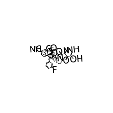 CS(=O)(=O)O[C@H]([C@H](c1ccc(C#N)cc1)c1cccc(F)c1)[C@H]1CCCN1C(=O)c1n[nH]cc(O)c1=O